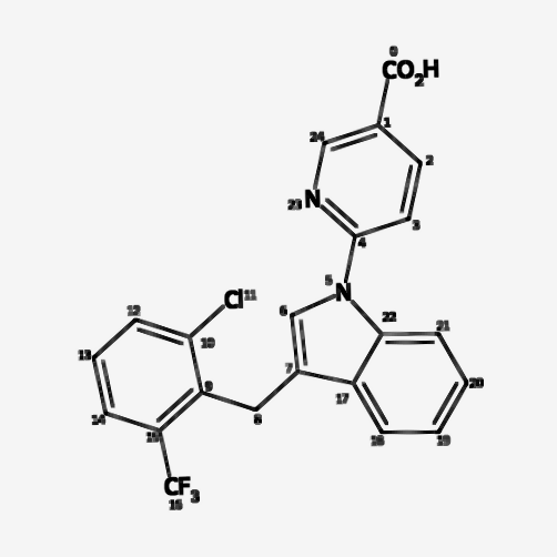 O=C(O)c1ccc(-n2cc(Cc3c(Cl)cccc3C(F)(F)F)c3ccccc32)nc1